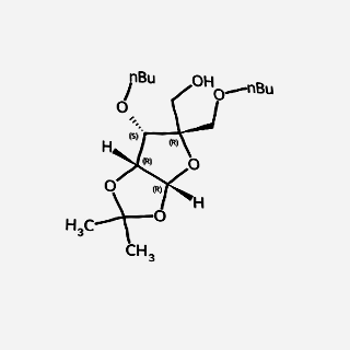 CCCCOC[C@@]1(CO)O[C@@H]2OC(C)(C)O[C@@H]2[C@@H]1OCCCC